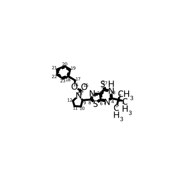 CC(C)(C)c1nc2sc(C3CCCN3C(=O)OCc3ccccc3)nc2c(=S)[nH]1